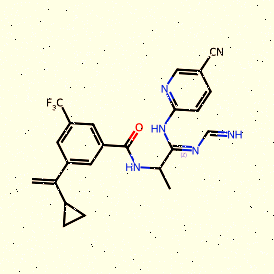 C=C(c1cc(C(=O)NC(C)/C(=N/C=N)Nc2ccc(C#N)cn2)cc(C(F)(F)F)c1)C1CC1